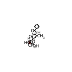 Cc1cn(C2O[C@@]3(CO)C(C)S[C@@H]2[C@@H]3O)c(=O)nc1NC(=O)c1ccccc1